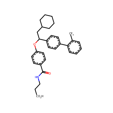 O=C(O)CCNC(=O)c1ccc(OC(CC2CCCCC2)c2ccc(-c3ccccc3C(F)(F)F)cc2)cc1